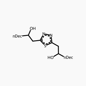 CCCCCCCCCCC(O)Cc1nnc(CC(O)CCCCCCCCCC)s1